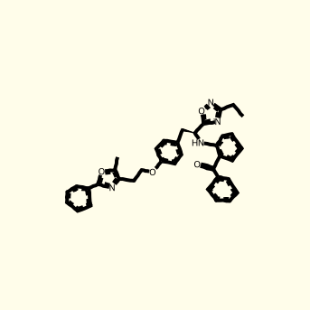 CCc1noc([C@H](Cc2ccc(OCCc3nc(-c4ccccc4)oc3C)cc2)Nc2ccccc2C(=O)c2ccccc2)n1